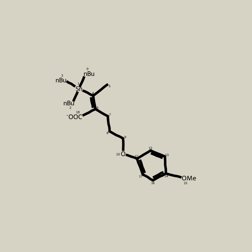 CCC[CH2][Sn]([CH2]CCC)([CH2]CCC)/[C](C)=C(/CCCOc1ccc(OC)cc1)C(=O)[O-]